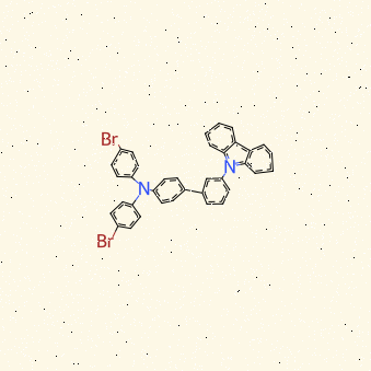 Brc1ccc(N(c2ccc(Br)cc2)c2ccc(-c3cccc(-n4c5ccccc5c5ccccc54)c3)cc2)cc1